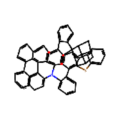 CC1C=C(c2cccc3cccc(-c4ccccc4)c23)C(N(c2ccc3c(c2)C2(c4ccccc4-3)C3CC4CC5CC2C453)c2ccccc2-c2cccc3c2sc2ccccc23)=CC1